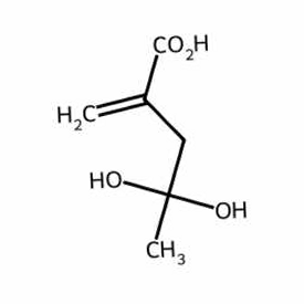 C=C(CC(C)(O)O)C(=O)O